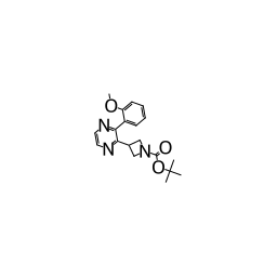 COc1ccccc1-c1nccnc1C1CN(C(=O)OC(C)(C)C)C1